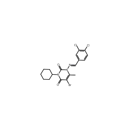 Cc1c(Br)c(=O)n(C2CCCCC2)c(=O)n1/N=C/c1ccc(Cl)c(Cl)c1